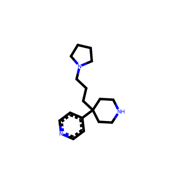 c1cc(C2(CCCN3CCCC3)CCNCC2)ccn1